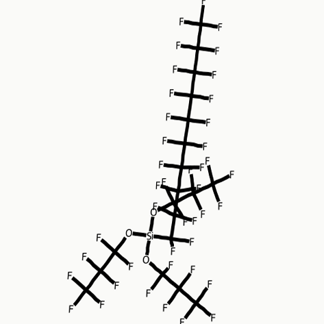 FC(F)(F)C(F)(F)C(F)(F)O[Si](OC(F)(F)C(F)(F)C(F)(F)F)(OC(F)(F)C(F)(F)C(F)(F)F)C(F)(F)C(F)(F)C(F)(F)C(F)(F)C(F)(F)C(F)(F)C(F)(F)C(F)(F)C(F)(F)C(F)(F)F